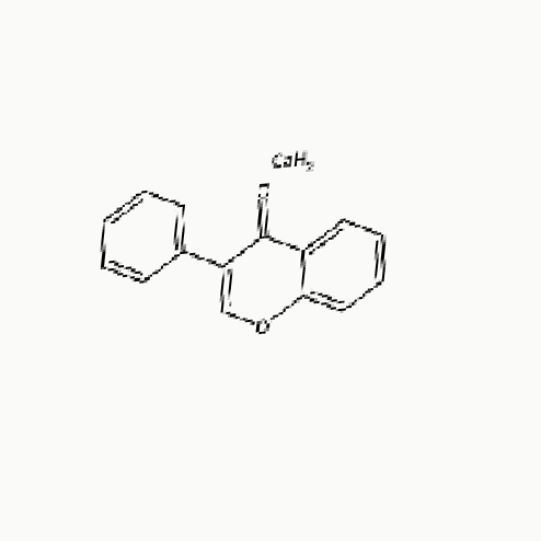 O=c1c(-c2ccccc2)coc2ccccc12.[CaH2]